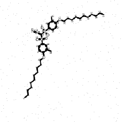 CCCCCCCCCCCOc1ccc(S(=O)(=O)C(=[N+]=[N-])S(=O)(=O)c2ccc(OCCCCCCCCCCC)c(C)c2)cc1C